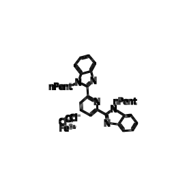 CCCCCn1c(-c2cccc(-c3nc4ccccc4n3CCCCC)n2)nc2ccccc21.[Cl-].[Cl-].[Cl-].[Fe+3]